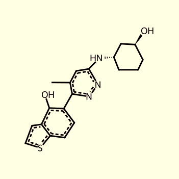 Cc1cc(N[C@H]2CCC[C@H](O)C2)nnc1-c1ccc2sccc2c1O